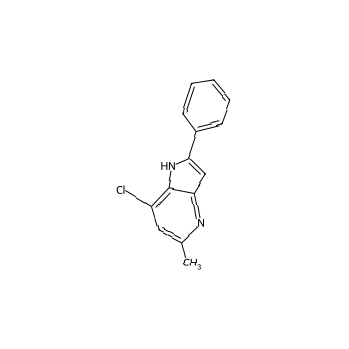 Cc1cc(Cl)c2[nH]c(-c3ccccc3)cc2n1